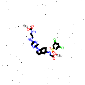 CC(C)(C)OC(=O)CN(c1ccc2c(ccn2-c2cnc(NCCNC(=O)OC(C)(C)C)cn2)c1)S(=O)(=O)C1C=C(Cl)C=C(Cl)C1